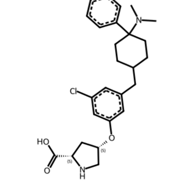 CN(C)C1(c2ccccc2)CCC(Cc2cc(Cl)cc(O[C@@H]3CN[C@H](C(=O)O)C3)c2)CC1